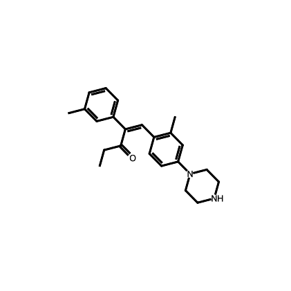 CCC(=O)/C(=C\c1ccc(N2CCNCC2)cc1C)c1cccc(C)c1